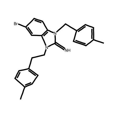 Cc1ccc(CCn2c(=N)n(Cc3ccc(C)cc3)c3ccc(Br)cc32)cc1